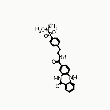 CN(C)S(=O)(=O)c1ccc(CCNC(=O)c2ccc3c(c2)NC(=O)c2ccccc2N3)cc1